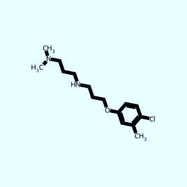 Cc1cc(OCCCNCCCN(C)C)ccc1Cl